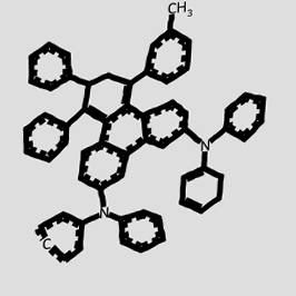 Cc1cccc(C2=c3c(c4ccc(N(c5ccccc5)c5ccccc5)cc4c4cc(N(C5=CC=CCC5)c5ccccc5)ccc34)=C(c3ccccc3)C(c3ccccc3)C2)c1